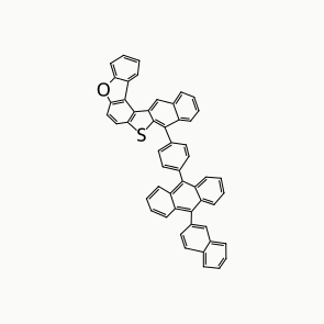 c1ccc2cc(-c3c4ccccc4c(-c4ccc(-c5c6ccccc6cc6c5sc5ccc7oc8ccccc8c7c56)cc4)c4ccccc34)ccc2c1